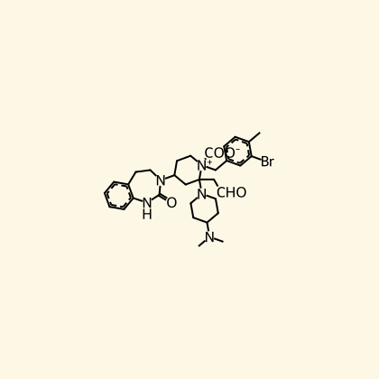 Cc1ccc(C[N@+]2(C(=O)[O-])CCC(N3CCc4ccccc4NC3=O)CC2(CC=O)N2CCC(N(C)C)CC2)cc1Br